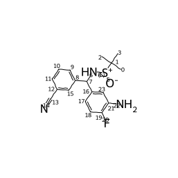 CC(C)(C)[S@@+]([O-])NC(c1cccc(C#N)c1)c1ccc(F)c(N)c1